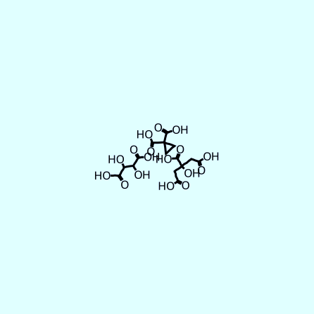 O=C(O)C(O)C(O)C(=O)O.O=C(O)C1(C(=O)O)CC1.O=C(O)CC(O)(CC(=O)O)C(=O)O